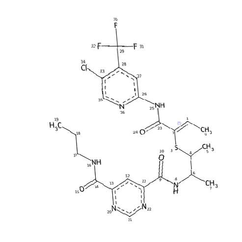 C/C=C(\SC(C)C(C)NC(=O)c1cc(C(=O)NCCC)ncn1)C(=O)Nc1cc(C(F)(F)F)c(Cl)cn1